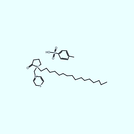 CCCCCCCCCCCCCCCC[N+]1(C[N+]2=CCSC=C2)CCCC1=O.Cc1ccc(S(=O)(=O)O)cc1